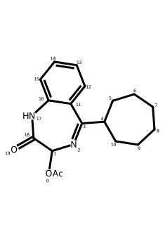 CC(=O)OC1N=C(C2CCCCCC2)c2ccccc2NC1=O